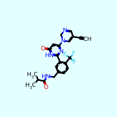 C#CC1=CN(c2cc(=O)[nH]c(-c3cc(CNC(=O)C(C)C)ccc3C(F)(F)F)n2)CN=C1